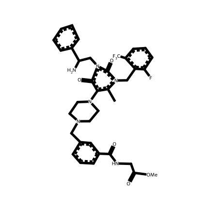 COC(=O)CNC(=O)c1cccc(CN2CCN(c3c(C)n(Cc4c(F)cccc4C(F)(F)F)c(=O)n(CC(N)c4ccccc4)c3=O)CC2)c1